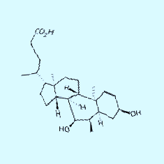 CC(CCC(=O)O)[C@H]1CC[C@H]2[C@@H]3[C@H](O)[C@H](C)[C@@H]4C[C@H](O)CC[C@]4(C)[C@H]3CC[C@]12C